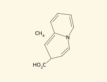 C.O=C(O)C1C=CN2C=CC=CC2=C1